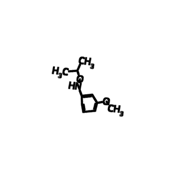 COc1cccc(NOC(C)C)c1